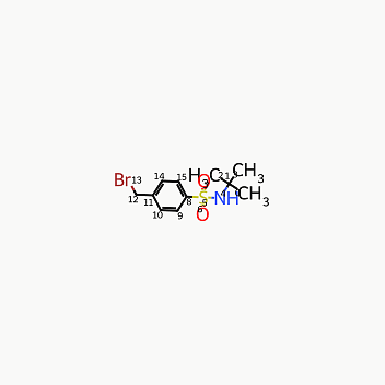 CC(C)(C)NS(=O)(=O)c1ccc(CBr)cc1